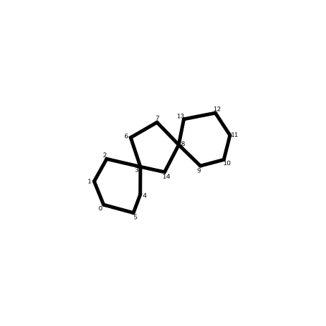 C1CCC2(CC1)CCC1(CCCCC1)C2